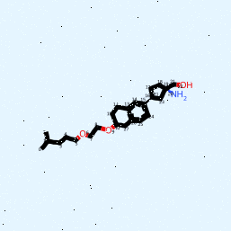 CC(C)CCCOCCOC1CCc2cc([C@H]3CC[C@](N)(CO)C3)ccc2C1